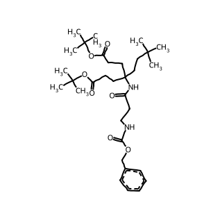 CC(C)(C)CCC(CCC(=O)OC(C)(C)C)(CCC(=O)OC(C)(C)C)NC(=O)CCNC(=O)OCc1ccccc1